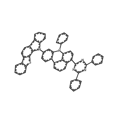 c1ccc(-c2nc(-c3ccccc3)nc(-c3ccc4c5c(cccc35)-c3ccc(-n5c6ccccc6c6ccc7c8ccccc8sc7c65)cc3N4c3ccccc3)n2)cc1